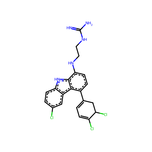 N=C(N)NCCNc1ccc(C2=CC=C(Cl)C(Cl)C2)c2c1[nH]c1ccc(Cl)cc12